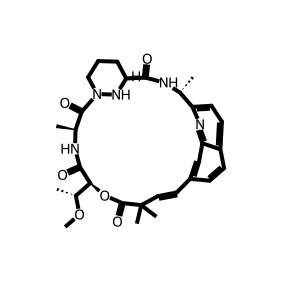 CO[C@H](C)[C@@H]1OC(=O)C(C)(C)/C=C/c2ccc3ccc(nc3c2)[C@@H](C)NC(=O)[C@@H]2CCCN(N2)C(=O)[C@H](C)NC1=O